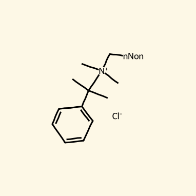 CCCCCCCCCC[N+](C)(C)C(C)(C)c1ccccc1.[Cl-]